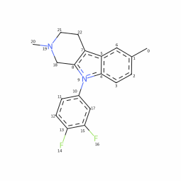 Cc1ccc2c(c1)c1c(n2-c2ccc(F)c(F)c2)CN(C)CC1